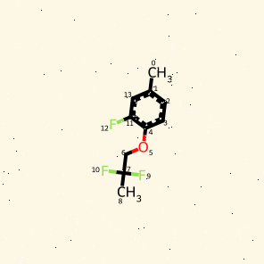 Cc1ccc(OCC(C)(F)F)c(F)c1